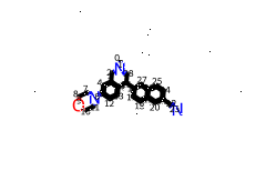 CN1Cc2cc(N3CCOCC3)ccc2C(c2ccc3cc(C#N)ccc3c2)C1